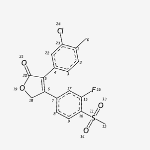 Cc1ccc(C2=C(c3ccc(S(C)(=O)=O)c(F)c3)COC2=O)cc1Cl